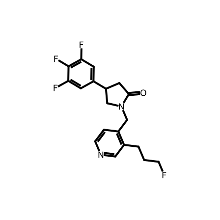 O=C1CC(c2cc(F)c(F)c(F)c2)CN1Cc1ccncc1CCCF